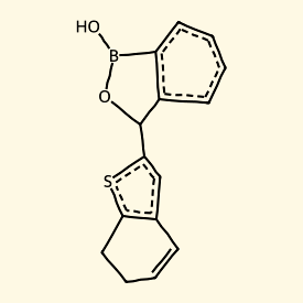 OB1OC(c2cc3c(s2)CCC=C3)c2ccccc21